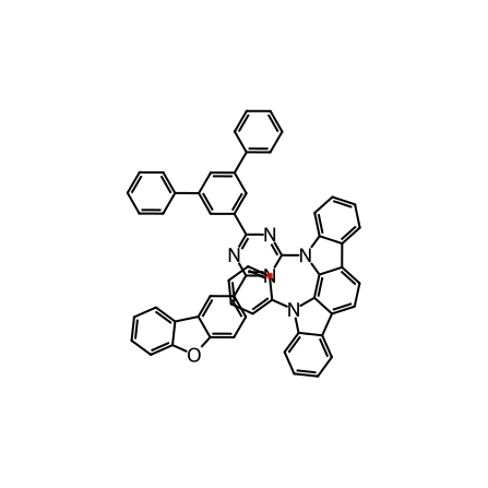 c1ccc(-c2cc(-c3ccccc3)cc(-c3nc(-c4ccc5oc6ccccc6c5c4)nc(-n4c5ccccc5c5ccc6c7ccccc7n(-c7ccccc7)c6c54)n3)c2)cc1